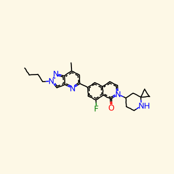 CCCCn1cc2nc(-c3cc(F)c4c(=O)n(C5CCNC6(CC6)C5)ccc4c3)cc(C)c2n1